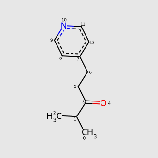 CC(C)C(=O)CCc1ccncc1